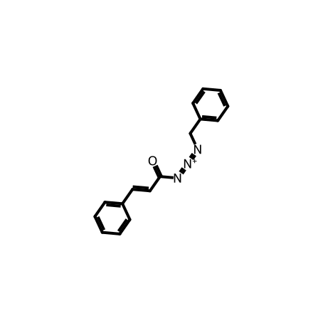 O=C(C=Cc1ccccc1)N=[N+]=NCc1ccccc1